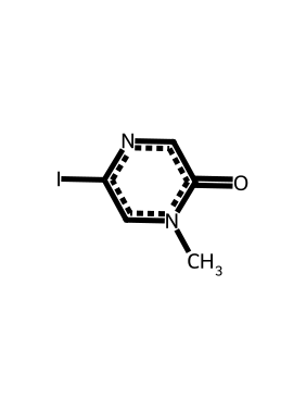 Cn1cc(I)ncc1=O